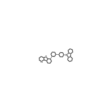 c1cc(-c2ccc(-n3c4ccccc4c4ccccc43)cc2)cc(-c2cccc3c2sc2cccnc23)c1